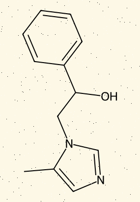 Cc1cncn1CC(O)c1ccccc1